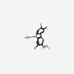 CCCCCCCCCCn1c2cc(F)c(N)cc2c2cc(I)c(F)cc21